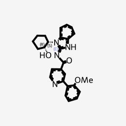 COc1ccccc1-c1cc(C(=O)/N=c2\[nH]c3ccccc3n2[C@H]2CCCC[C@H]2O)ccn1